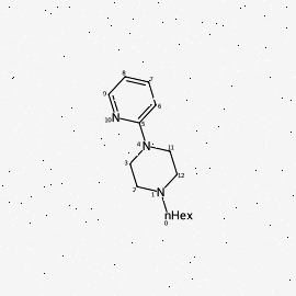 CCCCCCN1CCN(c2ccccn2)CC1